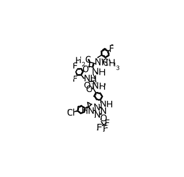 C=C1C(=O)C(NCC[C@H](NC(=O)c2ccc(Nc3nc(NC4(c5ccc(Cl)cc5)CC4)nc(OCC(F)(F)F)n3)cc2)C(=O)NCc2ccc(F)cc2F)=C1NCc1ccc(F)cc1C